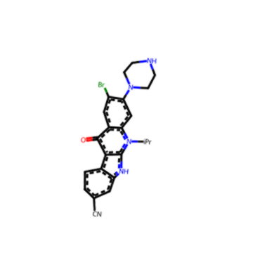 CC(C)n1c2cc(N3CCNCC3)c(Br)cc2c(=O)c2c3ccc(C#N)cc3[nH]c21